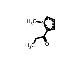 CCC(=O)c1cccn1C